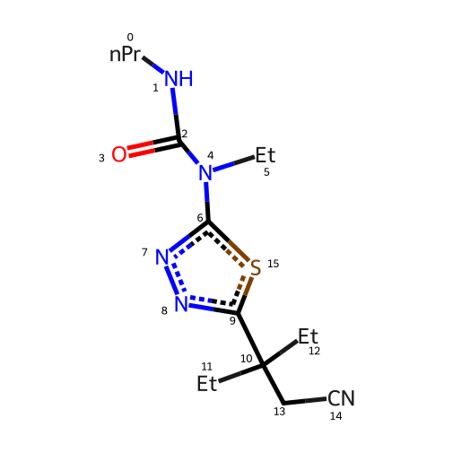 CCCNC(=O)N(CC)c1nnc(C(CC)(CC)CC#N)s1